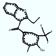 CCc1oc2ccccc2c1C(=O)c1cc(I)c(O)c(C(F)(F)F)c1